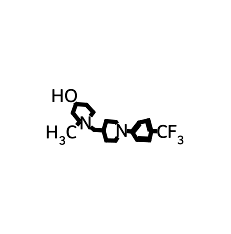 CC1CC(O)CCN1CC1CCN(c2ccc(C(F)(F)F)cc2)CC1